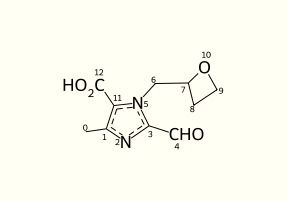 Cc1nc(C=O)n(CC2CCO2)c1C(=O)O